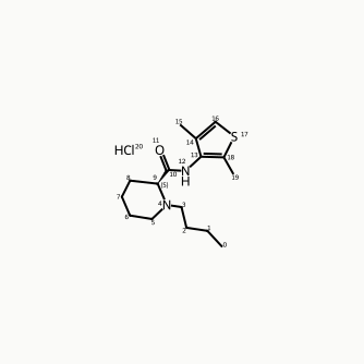 CCCCN1CCCC[C@H]1C(=O)Nc1c(C)csc1C.Cl